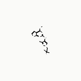 CCOc1nc(Nc2cn(CC(C)(C)O)nc2C)nc2[nH]ccc12